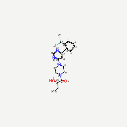 CC(C)C[C@@H](O)C(=O)N1CCN(c2cc(-c3ccccc3C(F)F)ncn2)CC1